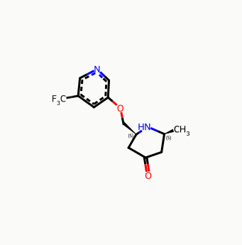 C[C@H]1CC(=O)C[C@@H](COc2cncc(C(F)(F)F)c2)N1